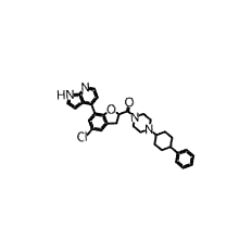 O=C(C1Cc2cc(Cl)cc(-c3ccnc4[nH]ccc34)c2O1)N1CCN(C2CCC(c3ccccc3)CC2)CC1